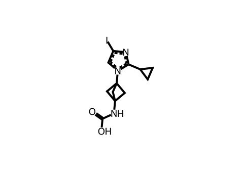 O=C(O)NC12CC(n3cc(I)nc3C3CC3)(C1)C2